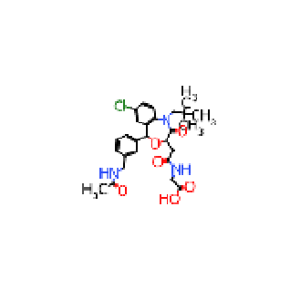 CC(=O)NCc1cccc(C2OC(CC(=O)NCC(=O)O)C(=O)N(CC(C)(C)C)c3ccc(Cl)cc32)c1